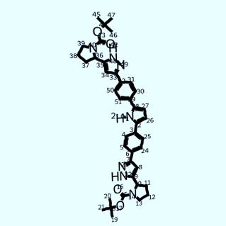 [2H]n1c(-c2ccc(-c3cc(C4CCCN4C(=O)OC(C)(C)C)[nH]n3)cc2)ccc1-c1ccc(-c2cc(C3CCCN3C(=O)OC(C)(C)C)[nH]n2)cc1